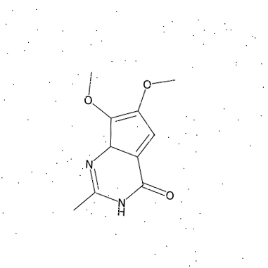 COC1=C(OC)C2N=C(C)NC(=O)C2=C1